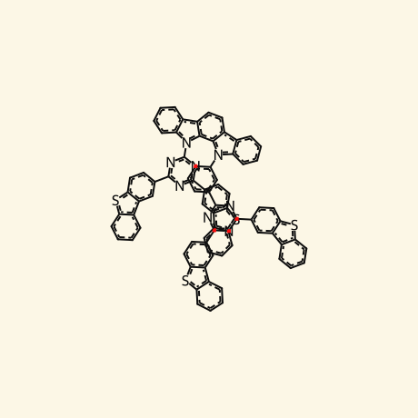 c1cc(-c2nc(-c3ccc4sc5ccccc5c4c3)nc(-c3ccc4sc5ccccc5c4c3)n2)cc(-n2c3ccccc3c3ccc4c5ccccc5n(-c5nc(-c6ccc7sc8ccccc8c7c6)nc(-c6ccc7sc8ccccc8c7c6)n5)c4c32)c1